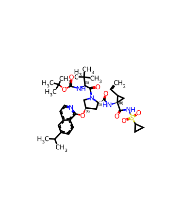 C=CC1C[C@]1(NC(=O)[C@@H]1C[C@@H](Oc2nccc3cc(C(C)C)ccc23)CN1C(=O)[C@@H](NC(=O)OC(C)(C)C)C(C)(C)C)C(=O)NS(=O)(=O)C1CC1